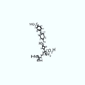 NC(CCCCB(O)O)(C(=O)O)[C@H]1C[C@@H](NCC2CCN(c3ccc(C(=O)O)cc3)CC2)C1